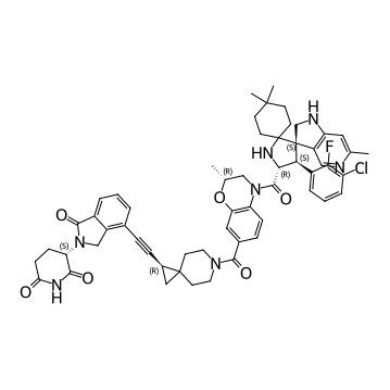 Cc1cc2c(cn1)[C@]1(CN2)[C@@H](c2cccc(Cl)c2F)[C@H](C(=O)N2C[C@@H](C)Oc3cc(C(=O)N4CCC5(CC4)C[C@H]5C#Cc4cccc5c4CN([C@H]4CCC(=O)NC4=O)C5=O)ccc32)NC12CCC(C)(C)CC2